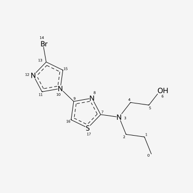 CCCN(CCO)c1nc(-n2cnc(Br)c2)cs1